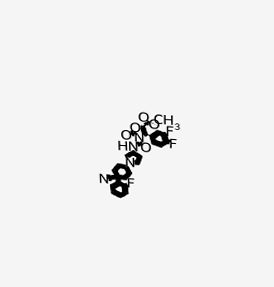 COC(=O)[C@@H]1OC(=O)N(C(=O)N[C@@H]2CCN(C3CCC(C#N)(c4ccccc4F)CC3)C2)[C@H]1c1ccc(F)c(F)c1